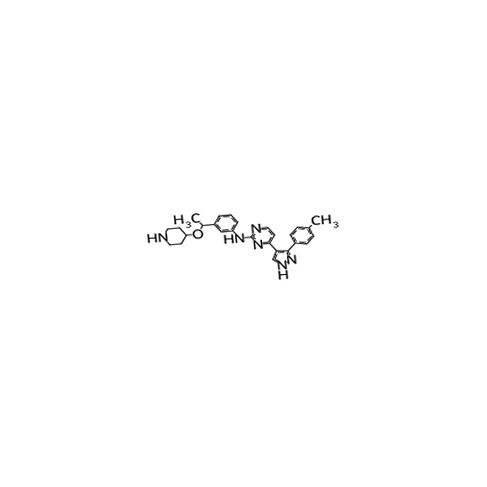 Cc1ccc(-c2n[nH]cc2-c2ccnc(Nc3cccc(C(C)OC4CCNCC4)c3)n2)cc1